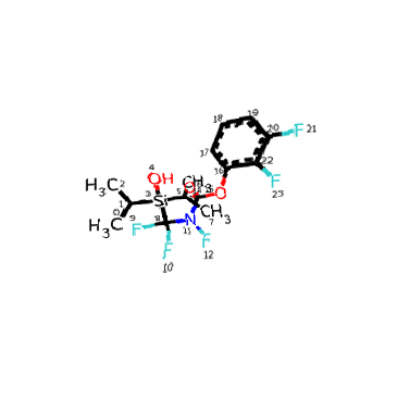 CC(C)[Si](O)(C(C)C)C(F)(F)N(F)C(=O)Oc1cccc(F)c1F